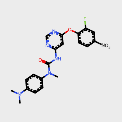 CN(C)c1ccc(N(C)C(=O)Nc2cc(Oc3ccc([N+](=O)[O-])cc3F)ncn2)cc1